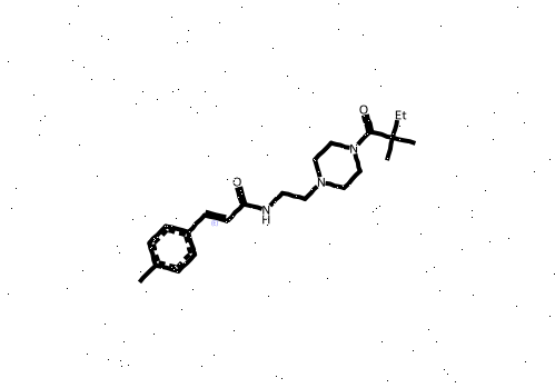 CCC(C)(C)C(=O)N1CCN(CCNC(=O)/C=C/c2ccc(C)cc2)CC1